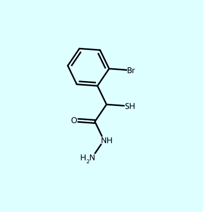 NNC(=O)C(S)c1ccccc1Br